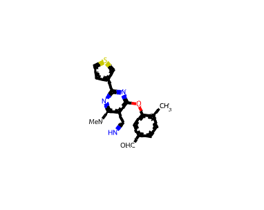 CNc1nc(-c2ccsc2)nc(Oc2cc(C=O)ccc2C)c1C=N